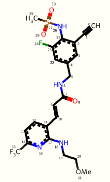 C#Cc1cc(CNC(=O)/C=C/c2ccc(C(F)(F)F)nc2NCCOC)cc(F)c1NS(C)(=O)=O